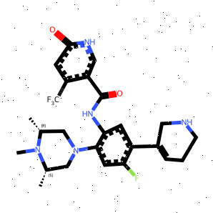 C[C@@H]1CN(c2cc(F)c(C3=CCCNC3)cc2NC(=O)c2c[nH]c(=O)cc2C(F)(F)F)C[C@H](C)N1C